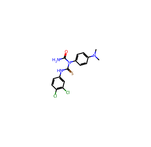 CN(C)c1ccc(N(C(N)=O)C(=S)Nc2ccc(Cl)c(Cl)c2)cc1